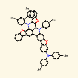 CC(C)(C)c1ccc(N2B3c4oc5ccc(C(C)(C)C)cc5c4N(c4ccc(C(C)(C)C)cc4-c4ccccc4)c4c3c(cc3c4oc4ccccc43)-c3cc4c(cc32)oc2cc(N(c3ccc(C(C)(C)C)cc3)c3ccc(C(C)(C)C)cc3)ccc24)cc1